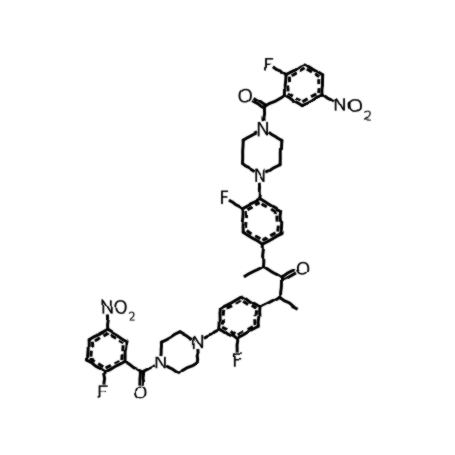 CC(C(=O)C(C)c1ccc(N2CCN(C(=O)c3cc([N+](=O)[O-])ccc3F)CC2)c(F)c1)c1ccc(N2CCN(C(=O)c3cc([N+](=O)[O-])ccc3F)CC2)c(F)c1